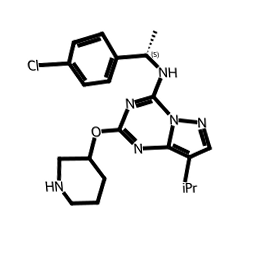 CC(C)c1cnn2c(N[C@@H](C)c3ccc(Cl)cc3)nc(OC3CCCNC3)nc12